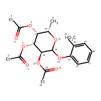 CCC(=O)O[C@@H]1[C@H](OC(=O)CC)[C@H](C)OC(Oc2ccccc2C(=O)O)[C@H]1OC(=O)CC